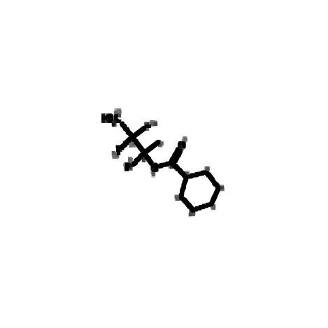 CC(C)C(C)(OC(=O)C1CCCCC1)C(F)(F)C(=O)O